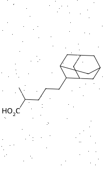 CC(CCCC1C2CC3CC(C2)CC1C3)C(=O)O